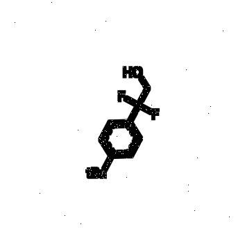 CC(C)(C)c1ccc(C(F)(F)CO)cc1